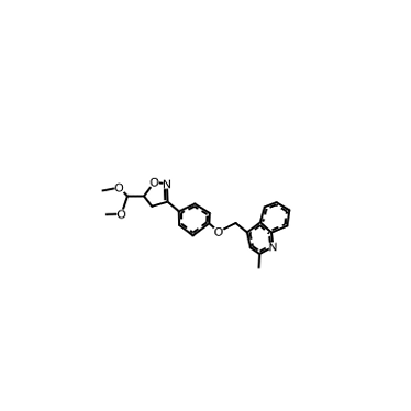 COC(OC)C1CC(c2ccc(OCc3cc(C)nc4ccccc34)cc2)=NO1